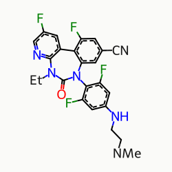 CCN1C(=O)N(c2c(F)cc(NCCNC)cc2F)c2cc(C#N)cc(F)c2-c2cc(F)cnc21